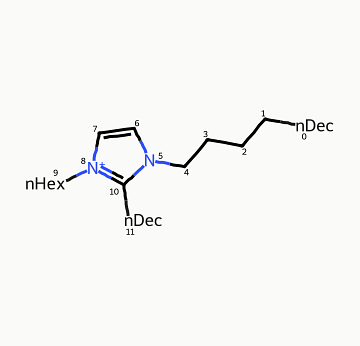 CCCCCCCCCCCCCCn1cc[n+](CCCCCC)c1CCCCCCCCCC